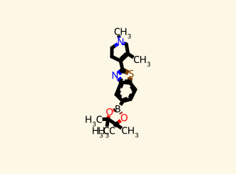 CC1=C(c2nc3cc(B4OC(C)(C)C(C)(C)O4)ccc3s2)CCN(C)C1